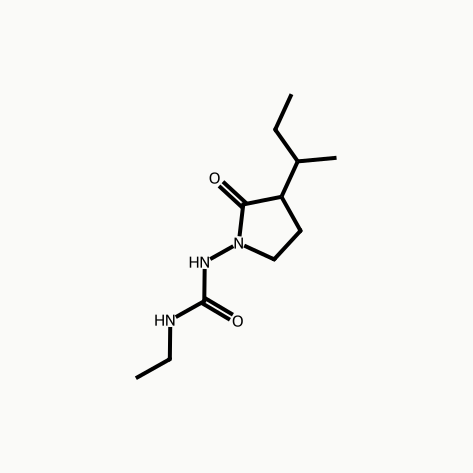 CCNC(=O)NN1CCC(C(C)CC)C1=O